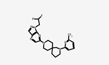 FC(F)Cn1ncc2ncc(N3CCC4(CCCN(c5cccc(C(F)(F)F)n5)C4)CC3)nc21